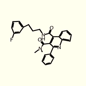 CN(C)C(=O)c1c(-c2ccccc2)nc2ccccc2c1C(=O)NCCCc1cccc(F)c1